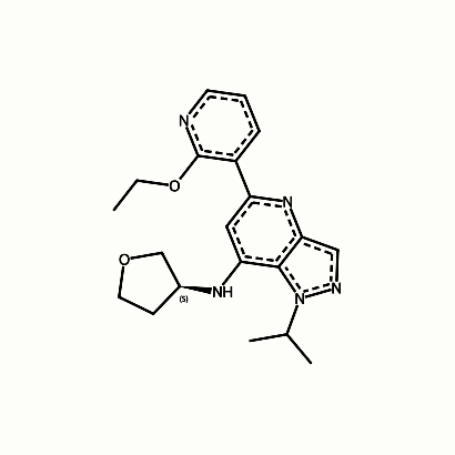 CCOc1ncccc1-c1cc(N[C@H]2CCOC2)c2c(cnn2C(C)C)n1